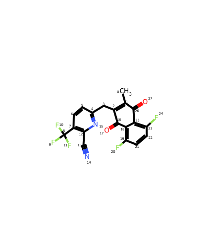 CC1=C(Cc2ccc(C(F)(F)F)c(C#N)n2)C(=O)c2c(F)ccc(F)c2C1=O